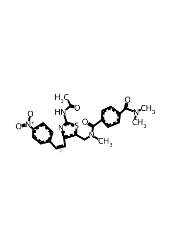 CC(=O)Nc1nc(/C=C\c2ccc([N+](=O)[O-])cc2)c(CN(C)C(=O)c2ccc(C(=O)N(C)C)cc2)s1